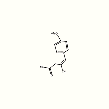 COc1ccc(C=C(C#N)CC(=O)C(C)(C)C)cc1